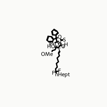 CCCCCCCC(F)(F)CCCCCCC=C[C@H](C(=O)N1C(=S)OC(c2ccccc2)(c2ccccc2)C1C(C)C)[C@@](O)(CCOC)C(=O)O